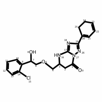 O=C1CC(COCC(O)c2ccccc2Cl)Nc2nc(C3=CC=CCC3)nn21